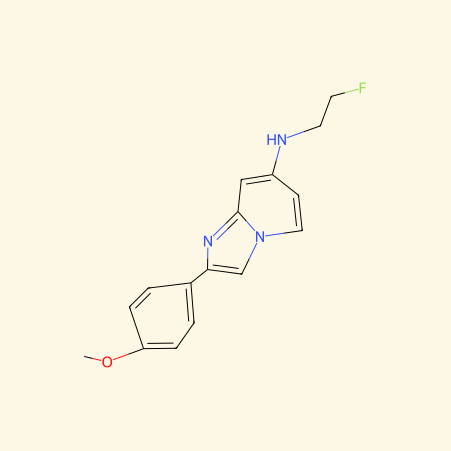 COc1ccc(-c2cn3ccc(NCCF)cc3n2)cc1